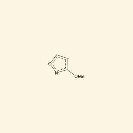 COc1[c]con1